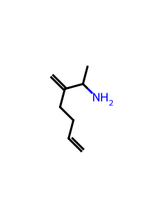 C=CCCC(=C)C(C)N